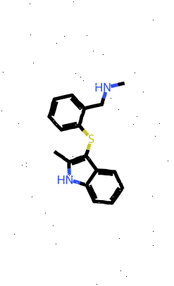 CNCc1ccccc1Sc1c(C)[nH]c2ccccc12